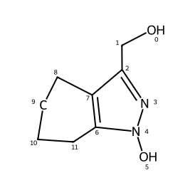 OCc1nn(O)c2c1CCCC2